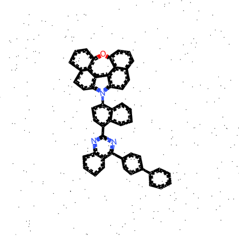 c1ccc(-c2ccc(-c3nc(-c4ccc(-n5c6ccc7cccc8oc9cccc%10ccc5c(c%109)c6c78)c5ccccc45)nc4ccccc34)cc2)cc1